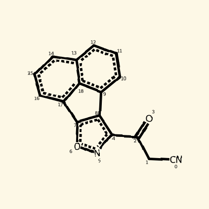 N#CCC(=O)c1noc2c1-c1cccc3cccc-2c13